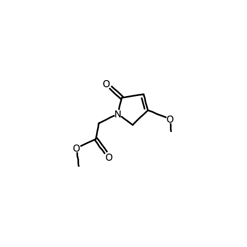 COC(=O)CN1CC(OC)=CC1=O